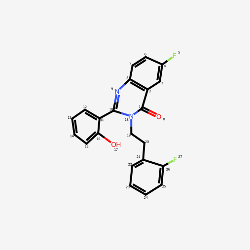 O=c1c2cc(F)ccc2nc(-c2ccccc2O)n1CCc1ccccc1F